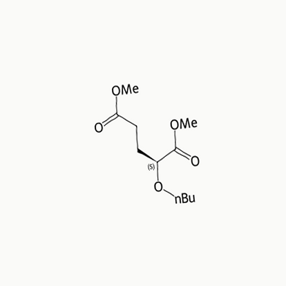 CCCCO[C@@H](CCC(=O)OC)C(=O)OC